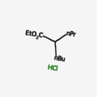 CCCCC(CCC)C(=O)OCC.Cl